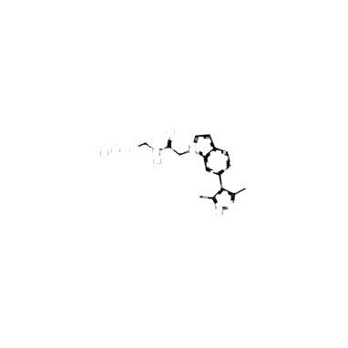 Cc1noc(C)c1-c1ccc2ccn(CC(=O)NCC(=O)O)c2c1